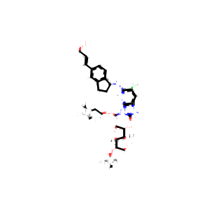 CC(C)(C)[Si](C)(C)O[C@@H]1CO[C@H]2[C@@H]1OC[C@H]2Oc1nc2cc(Cl)c(N[C@H]3CCc4cc(/C=C/CO)ccc43)nc2n1COCC[Si](C)(C)C